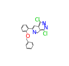 Clc1nnc(Cl)c2cc(-c3ccccc3OCc3ccccc3)ncc12